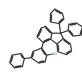 Clc1ccc(-c2ccccc2)cc1-c1cccc2c1-c1ccccc1C2(c1ccccc1)c1ccccc1